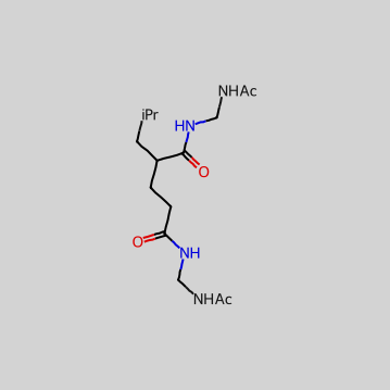 CC(=O)NCNC(=O)CCC(CC(C)C)C(=O)NCNC(C)=O